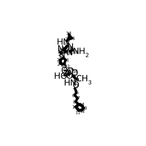 C[C@H](NOCCCCCc1ccccc1)C(=O)OP(=O)(O)OC[C@@H]1C=C[C@H](n2cnc3c(NC4CC4)nc(N)nc32)C1